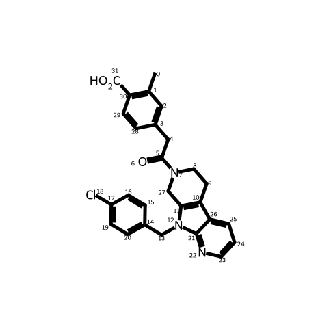 Cc1cc(CC(=O)N2CCc3c(n(Cc4ccc(Cl)cc4)c4ncccc34)C2)ccc1C(=O)O